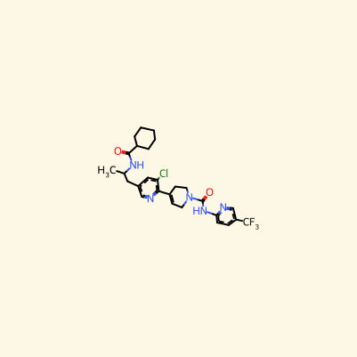 CC(Cc1cnc(C2=CCN(C(=O)Nc3ccc(C(F)(F)F)cn3)CC2)c(Cl)c1)NC(=O)C1CCCCC1